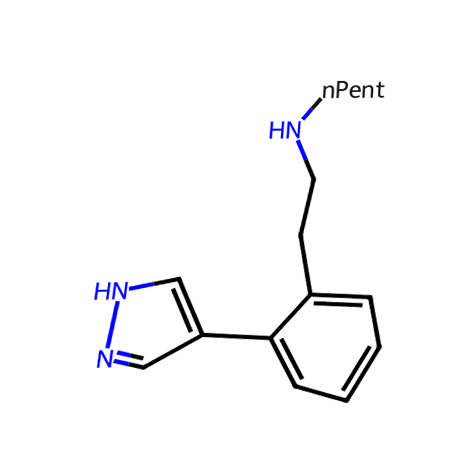 CCCCCNCCc1ccccc1-c1cn[nH]c1